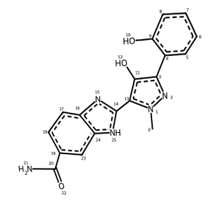 Cn1nc(-c2ccccc2O)c(O)c1-c1nc2ccc(C(N)=O)cc2[nH]1